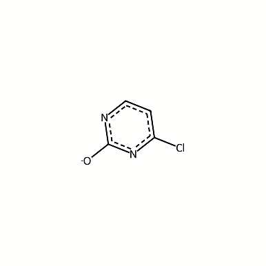 [O]c1nccc(Cl)n1